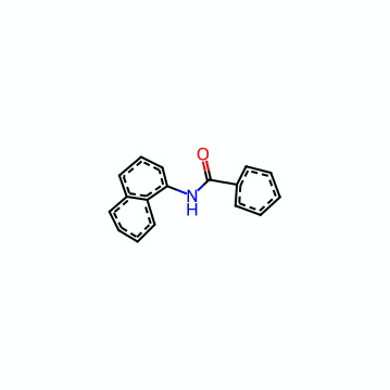 O=C(Nc1cccc2ccccc12)c1ccccc1